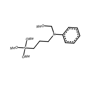 COCN(CCC[Si](OC)(OC)OC)c1ccccc1